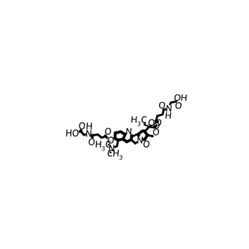 CC[C@@]1(OC(=O)CCC(=O)NCC(=O)O)C(=O)OCc2c1cc1n(c2=O)Cc2cc3c(CN(C)C)c(OC(=O)CCC(=O)NCC(=O)O)ccc3nc2-1